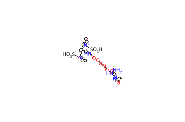 Cc1nn(-c2ccc(C(N)=O)c(NCCCOCCOCCOCCOCCOCCCNCc3ccc(C4=C(/C=C/C5=[N+](CCCCS(=O)(=O)O)c6ccc7ccccc7c6C5(C)C)CCC/C4=C\C=C4\N(CCCCS(=O)(=O)O)c5ccc6ccccc6c5C4(C)C)cc3)c2)c2c1C(=O)CC(C)(C)C2